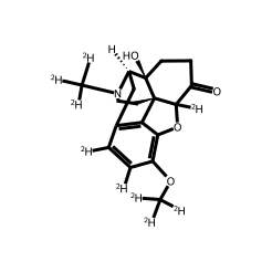 [2H]c1c([2H])c(OC([2H])([2H])[2H])c2c3c1C[C@H]1N(C([2H])([2H])[2H])CC[C@@]34C([2H])(O2)C(=O)CC[C@@]14O